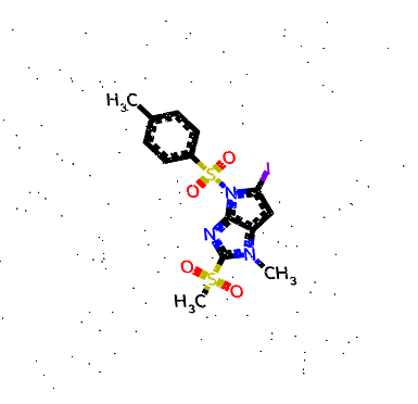 Cc1ccc(S(=O)(=O)n2c(I)cc3c2nc(S(C)(=O)=O)n3C)cc1